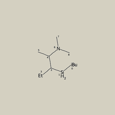 CCC(C)[SiH2]C(CC)C(C)N(C)C